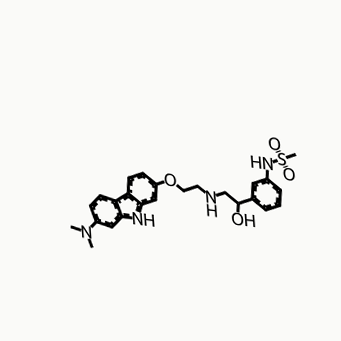 CN(C)c1ccc2c(c1)[nH]c1cc(OCCNCC(O)c3cccc(NS(C)(=O)=O)c3)ccc12